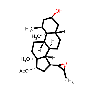 CC(=O)O[C@H]1C[C@H](C2OC2C)[C@H]2[C@@H]3CC[C@H]4C[C@H](O)C[C@H](C)[C@]4(C)[C@H]3CC[C@@]21C